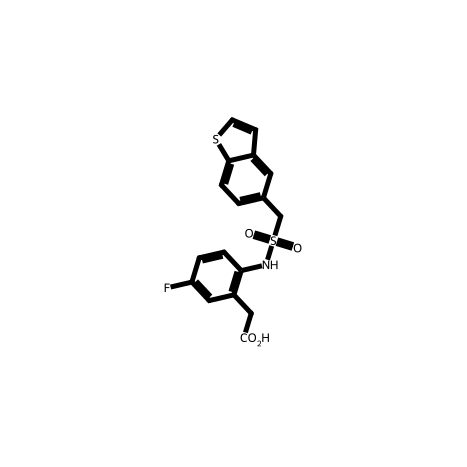 O=C(O)Cc1cc(F)ccc1NS(=O)(=O)Cc1ccc2sccc2c1